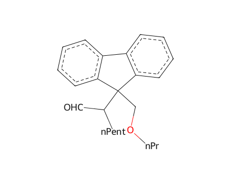 CCCCCC(C=O)C1(COCCC)c2ccccc2-c2ccccc21